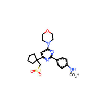 O=C(O)Nc1ccc(-c2nc(N3CCOCC3)cc(C3(C[SH](=O)=O)CCCC3)n2)cc1